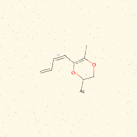 C=C/C=C\C1=C(C)OCC(C(C)=O)O1